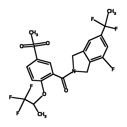 CC(Oc1ccc(S(C)(=O)=O)cc1C(=O)N1Cc2cc(C(C)(F)F)cc(F)c2C1)C(F)(F)F